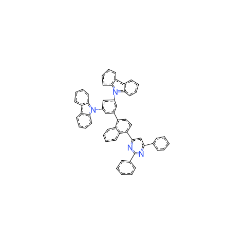 c1ccc(-c2cc(-c3ccc(-c4cc(-n5c6ccccc6c6ccccc65)cc(-n5c6ccccc6c6ccccc65)c4)c4ccccc34)nc(-c3ccccc3)n2)cc1